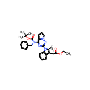 CCOC(=O)Cc1c(C)n(-c2nc(N(Cc3ccccc3)C(=O)OC(C)(C)C)c3cccn3n2)c2ccccc12